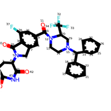 O=C1CCC(N2Cc3cc(C(=O)N4CCN(C(c5ccccc5)c5ccccc5)CC4C(F)(F)F)cc(F)c3C2=O)C(=O)N1